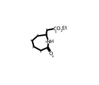 CCOC(=O)CC1CCCCC(=O)N1